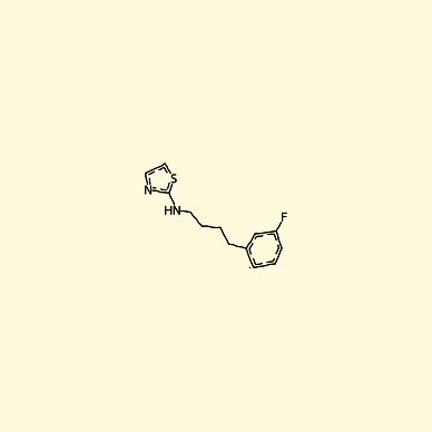 Fc1cc[c]c(CCCCNc2nccs2)c1